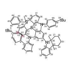 CC(C)(C)c1ccc(-c2ccccc2N2c3cc(N4c5ccccc5C5(C)CCCCC45C)cc4c3B3c5c(cccc5[Si](C)(c5ccccc5)c5cccc2c53)N4c2ccc(C(C)(C)C)cc2)cc1